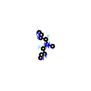 Fc1cc(-c2nc(-c3ccccc3)nc(-c3cc(F)cc(-c4ccnc5c4ccc4cccnc45)c3)n2)cc(-c2ccnc3c2ccc2cccnc23)c1